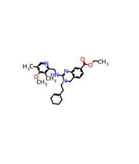 CCOC(=O)c1ccc2c(c1)N=C(NCc1ncc(C)c(OC)c1C)N(CCC1=CCCCC1)C2